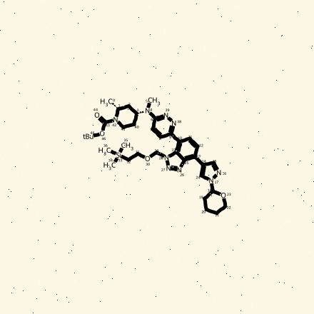 C[C@@H]1C[C@H](N(C)c2ccc(-c3ccc(-c4cnn(C5CCCCO5)c4)c4nnn(COCC[Si](C)(C)C)c34)nn2)CCN1C(=O)OC(C)(C)C